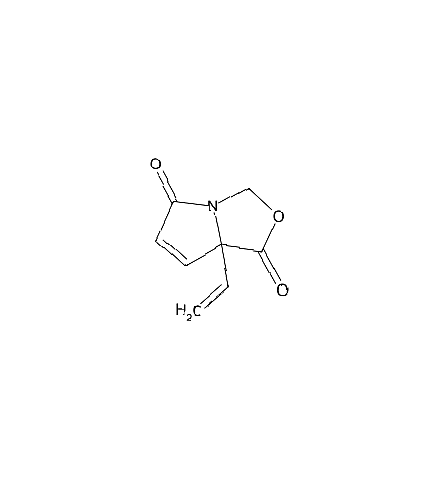 C=CC12C=CC(=O)N1COC2=O